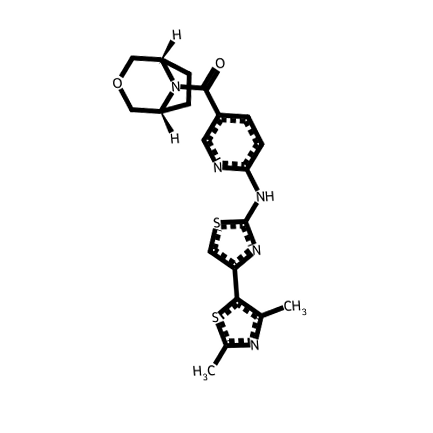 Cc1nc(C)c(-c2csc(Nc3ccc(C(=O)N4[C@@H]5CC[C@H]4COC5)cn3)n2)s1